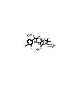 COC(C(=O)N[C@@H]1C(=O)N2[C@@H]1SC(C)(C)[C@@H]2C(=O)O)c1ccc(Cl)c(Cl)c1.[KH]